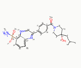 CC(C)CC1(O)CCN(C(=O)c2ccc(-c3cnc4c(S(N)(=O)=O)cccc4n3)cc2)CC1